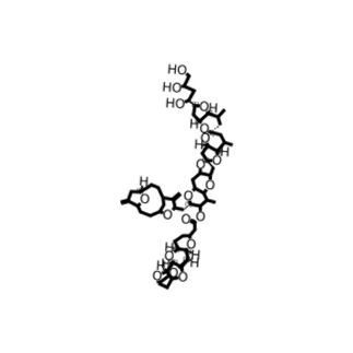 C=C1C[C@@H]2CCC3CC(CCC1O2)OC(C[C@@H]1OC2CC4O[C@]5(CC4OC2C(C)C1OC(=O)CC1CC[C@@H]2O[C@@H]4C6OC7CC(O[C@H]6[C@H]2O1)O[C@@H]74)C[C@@H]1O[C@]2(CC(C)[C@@H]4O[C@H](C(O)CC(O)CO)C[C@@H]4O2)CC(C)[C@@H]1O5)C3=C